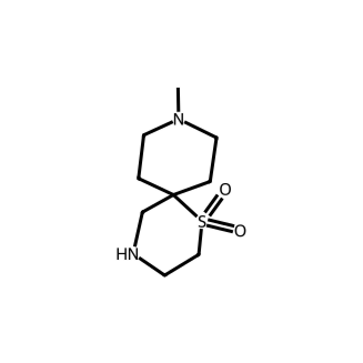 CN1CCC2(CC1)CNCCS2(=O)=O